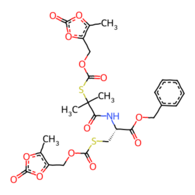 Cc1oc(=O)oc1COC(=O)SC[C@H](NC(=O)C(C)(C)SC(=O)OCc1oc(=O)oc1C)C(=O)OCc1ccccc1